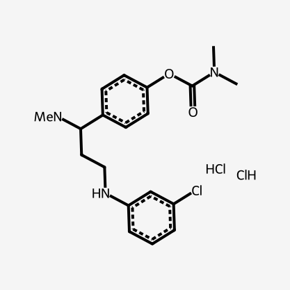 CNC(CCNc1cccc(Cl)c1)c1ccc(OC(=O)N(C)C)cc1.Cl.Cl